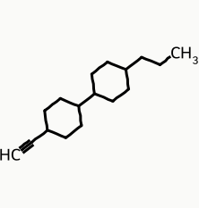 C#CC1CCC(C2CCC(CCC)CC2)CC1